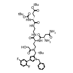 CC(C)(C)OC(=O)CC[C@@H](NC(=O)OC(C)(C)C)C(=O)NCCNC(=O)[C@H](CCN(C(=O)CO)[C@@H](c1cc(-c2cc(F)ccc2F)cn1Cc1ccccc1)C(C)(C)C)NC(=O)[C@@H](N)CC(N)=O